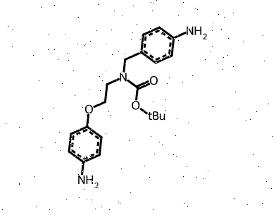 CC(C)(C)OC(=O)N(CCOc1ccc(N)cc1)Cc1ccc(N)cc1